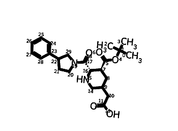 CC(C)(C)OC(=O)[C@H]1CC(CC(=O)O)CN[C@@H]1C(=O)N1CCC(c2ccccc2)C1